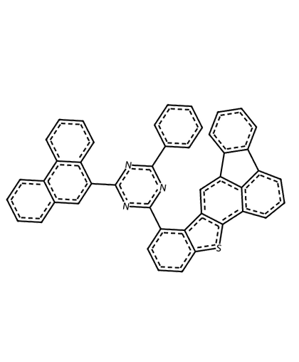 c1ccc(-c2nc(-c3cc4ccccc4c4ccccc34)nc(-c3cccc4sc5c6cccc7c6c(cc5c34)-c3ccccc3-7)n2)cc1